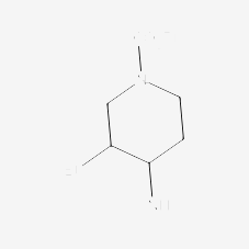 CCOC(=O)N1CCC(N)C(CC)C1